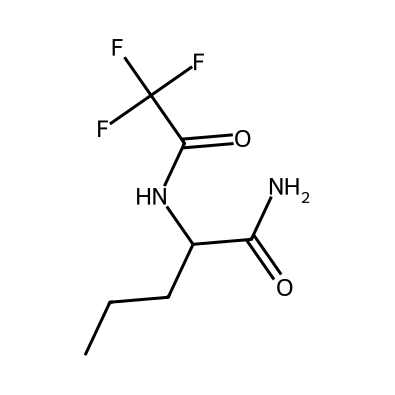 CCCC(NC(=O)C(F)(F)F)C(N)=O